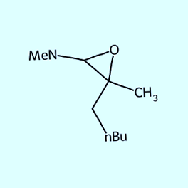 CCCCCC1(C)OC1NC